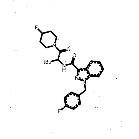 CC(C)(C)C(NC(=O)c1nn(Cc2ccc(F)cc2)c2ccccc12)C(=O)N1CCC(F)CC1